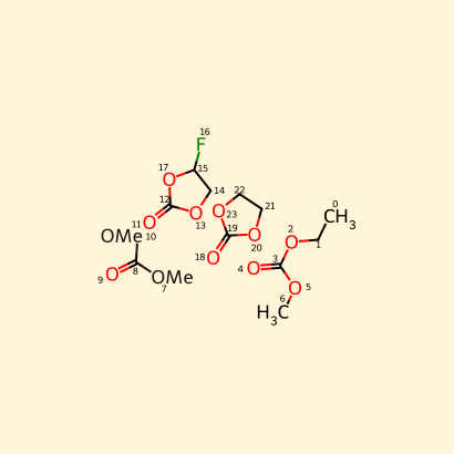 CCOC(=O)OC.COC(=O)OC.O=C1OCC(F)O1.O=C1OCCO1